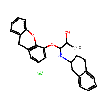 Cl.O=CC(O)C(NC1CCc2ccccc2C1)Oc1cccc2c1Oc1ccccc1C2